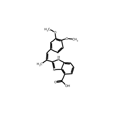 COc1ccc(/C=C(/C)c2nc3c(C(=O)O)cccc3[nH]2)cc1OC